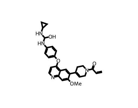 C=CC(=O)N1CC=C(c2cc3c(Oc4ccc(NC(O)NC5CC5)cc4)ccnc3cc2OC)CC1